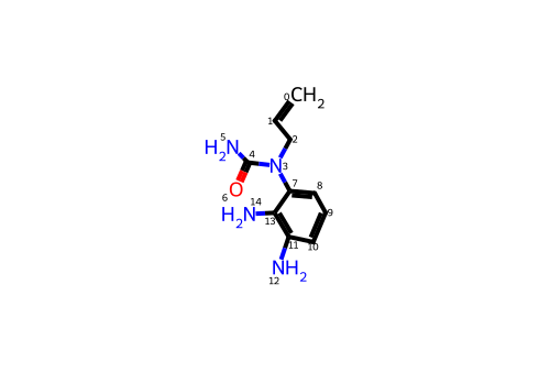 C=CCN(C(N)=O)c1cccc(N)c1N